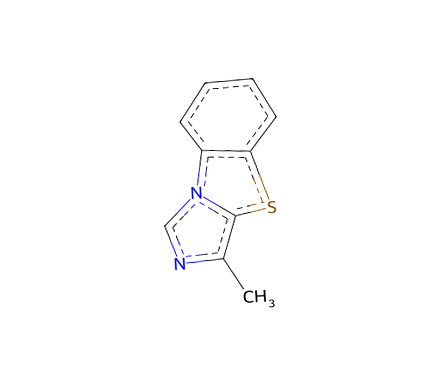 Cc1ncn2c1sc1ccccc12